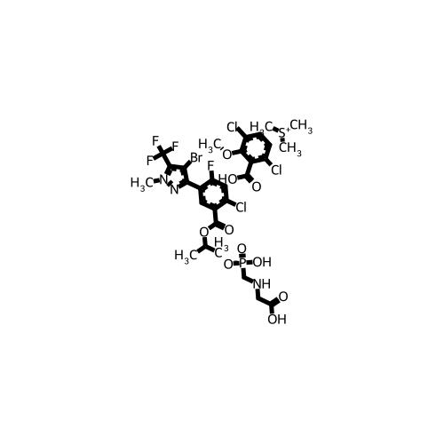 CC(C)OC(=O)c1cc(-c2nn(C)c(C(F)(F)F)c2Br)c(F)cc1Cl.COc1c(Cl)ccc(Cl)c1C(=O)O.C[S+](C)C.O=C(O)CNCP(=O)([O-])O